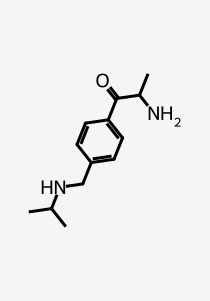 CC(C)NCc1ccc(C(=O)C(C)N)cc1